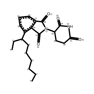 CCCCCCC(CC)c1cccc2c1C(=O)N(C1CCC(=O)NC1=O)C2=O